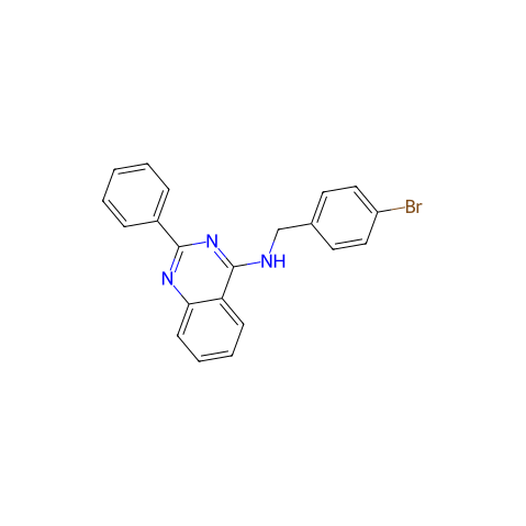 Brc1ccc(CNc2nc(-c3ccccc3)nc3ccccc23)cc1